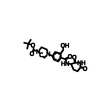 CC(C)(C)OC(=O)N1CCN(c2ccc(C(=O)NC3CCC(=O)NC3=O)c(CO)c2)CC1